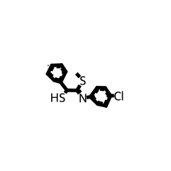 CSC(=Nc1ccc(Cl)cc1)C(S)c1cc[c]cc1